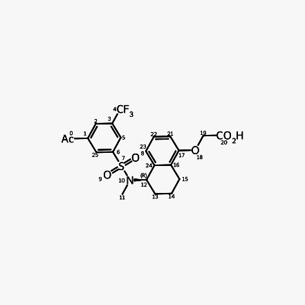 CC(=O)c1cc(C(F)(F)F)cc(S(=O)(=O)N(C)[C@@H]2CCCc3c(OCC(=O)O)cccc32)c1